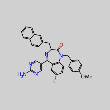 COc1ccc(CN2C(=O)C(Cc3ccc4ccccc4c3)N=C(c3cnc(N)nc3)c3cc(Cl)ccc32)cc1